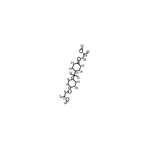 COC(C)COC1CCC(C(C)(C)C2CCC(OCC(C)OC)CC2)CC1